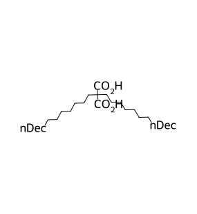 CCCCCCCCCCCCCCCCCC(CCCCCCCCCCCCCCCCC)(C(=O)O)C(=O)O